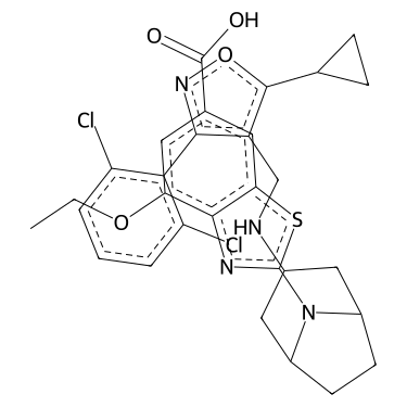 CCOc1cc(C(=O)O)cc2sc(N3C4CCC3CC(NCc3c(-c5c(Cl)cccc5Cl)noc3C3CC3)C4)nc12